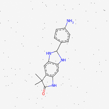 CC1(C)C(=O)Nc2cc3c(cc21)NC(c1ccc(N)cc1)N3